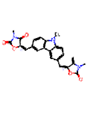 C=c1/c(=C\c2ccc3c(c2)c2cc(/C=C4/OC(=O)N(C)C4=O)ccc2n3CC)oc(=O)n1C